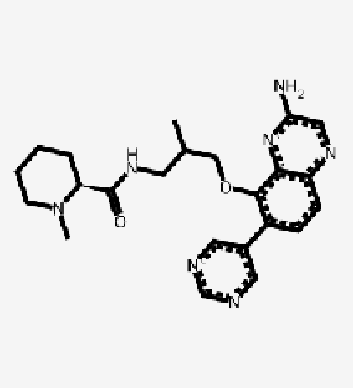 CC(CNC(=O)[C@@H]1CCCCN1C)COc1c(-c2cncnc2)ccc2ncc(N)nc12